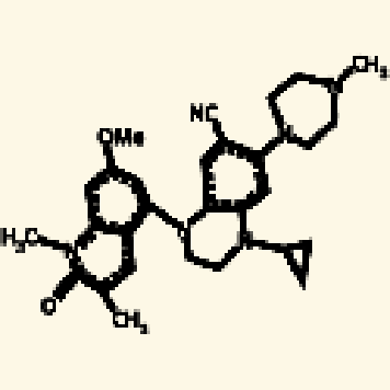 COc1cc(N2CCN(C3CC3)c3cc(N4CCN(C)CC4)c(C#N)cc32)c2cc(C)c(=O)n(C)c2c1